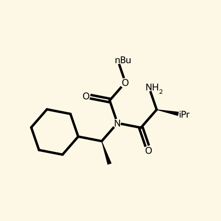 CCCCOC(=O)N(C(=O)[C@@H](N)C(C)C)[C@@H](C)C1CCCCC1